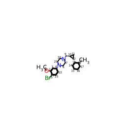 COc1cc(N2CCN(C[C@H]3C[C@@H]3c3ccccc3C)CC2)ccc1Br